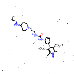 CC1=C(C(=O)O)C(c2cccc(NC(=O)NCCCN3CCC(NCCC(C)C)CC3)c2)C(C(=O)O)=C(C)N1